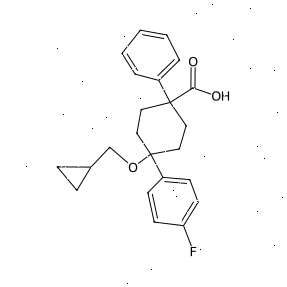 O=C(O)C1(c2ccccc2)CCC(OCC2CC2)(c2ccc(F)cc2)CC1